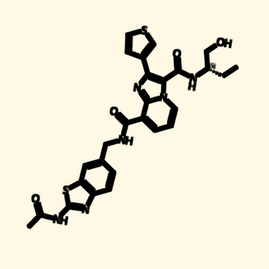 CC[C@@H](CO)NC(=O)c1c(-c2ccsc2)nc2c(C(=O)NCc3ccc4nc(NC(C)=O)sc4c3)cccn12